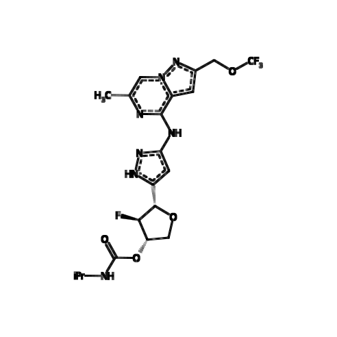 Cc1cn2nc(COC(F)(F)F)cc2c(Nc2cc([C@@H]3OC[C@H](OC(=O)NC(C)C)[C@H]3F)[nH]n2)n1